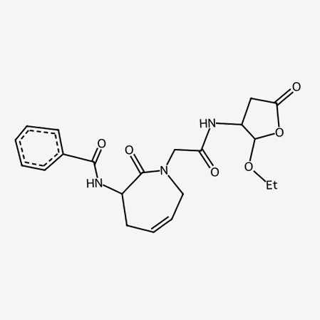 CCOC1OC(=O)CC1NC(=O)CN1CC=CCC(NC(=O)c2ccccc2)C1=O